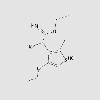 CCOC(=N)C(O)c1c(OCC)csc1C.Cl